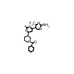 Cc1nc(-c2cnc(N)nc2C(F)(F)F)cc(C2CCCN(C(=O)c3ccccc3)C2)n1